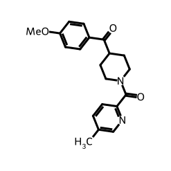 COc1ccc(C(=O)C2CCN(C(=O)c3ccc(C)cn3)CC2)cc1